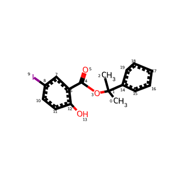 CC(C)(OC(=O)c1cc(I)ccc1O)c1ccccc1